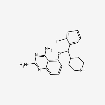 Nc1nc(N)c2c(OC(c3ccccc3F)C3CCNCC3)cccc2n1